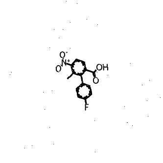 Cc1c([N+](=O)[O-])ccc(C(=O)O)c1-c1ccc(F)cc1